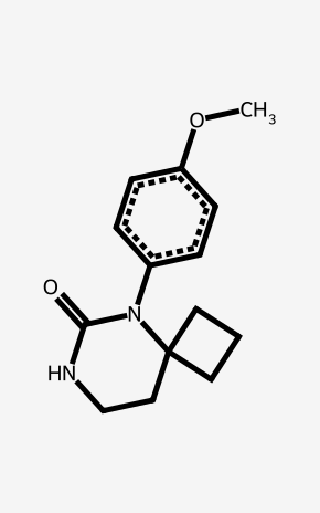 COc1ccc(N2C(=O)NCCC23CCC3)cc1